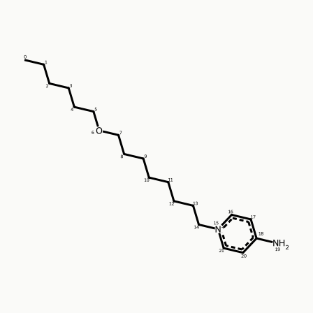 CCCCCCOCCCCCCCC[n+]1ccc(N)cc1